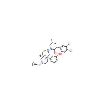 CC(C)CN(C(=O)Cc1ccc(Cl)c(Cl)c1)[C@H]1CC[C@@H]2CN(CC3CC3)CC[C@@]2(c2cccc(O)c2)C1